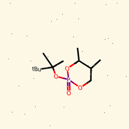 CC1COP(=O)(OC(C)(C)C(C)(C)C)OC1C